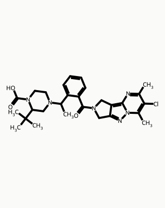 Cc1nc2c3c(nn2c(C)c1Cl)CN(C(=O)c1ccccc1C(C)N1CCN(C(=O)O)C(C(C)(C)C)C1)C3